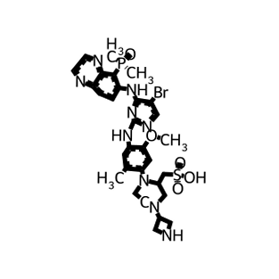 COc1cc(N2CCN(C3CNC3)CC2CS(=O)(=O)O)c(C)cc1Nc1ncc(Br)c(Nc2ccc3nccnc3c2P(C)(C)=O)n1